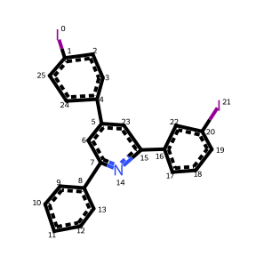 Ic1ccc(-c2cc(-c3ccccc3)nc(-c3cccc(I)c3)c2)cc1